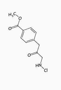 COC(=O)c1ccc(CC(=O)CNCl)cc1